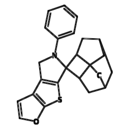 c1ccc(N2Cc3c(sc4occc34)C23C2CC4CC5CC3C2(C4)C5)cc1